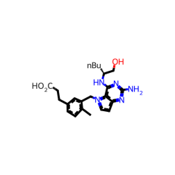 CCCC[C@@H](CO)Nc1nc(N)nc2ccn(Cc3cc(CCC(=O)O)ccc3C)c12